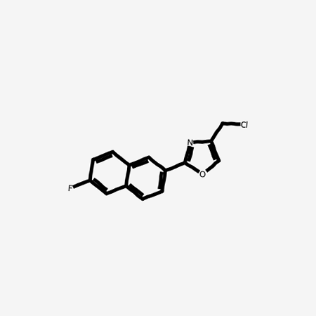 Fc1ccc2cc(-c3nc(CCl)co3)ccc2c1